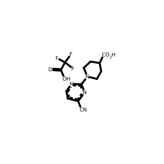 N#Cc1ccnc(N2CCC(C(=O)O)CC2)n1.O=C(O)C(F)(F)F